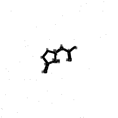 CC(=O)O[C@@H]1CCC(=O)N1